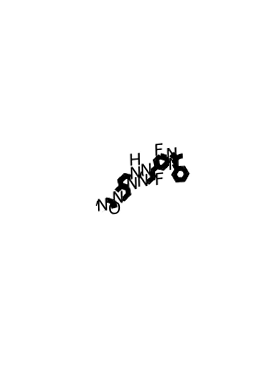 Cc1nc2c(F)cc(-c3nc(Nc4ccc5c(n4)CCN(C(=O)CN(C)C)C5)ncc3F)cc2n1C1CCCCC1